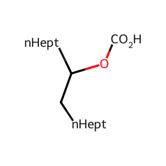 CCCCCCCCC(CCCCCCC)OC(=O)O